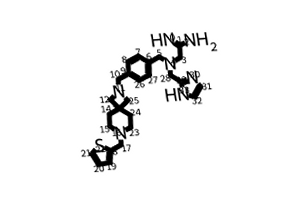 N=C(N)CN(Cc1ccc(CN2CC3(CCN(Cc4cccs4)CC3)C2)cc1)Cc1ncc[nH]1